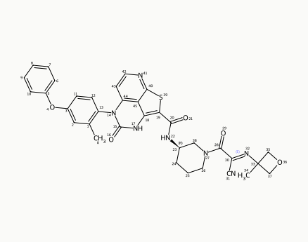 Cc1cc(Oc2ccccc2)ccc1N1C(=O)Nc2c(C(=O)N[C@@H]3CCCN(C(=O)/C(C#N)=N/C4(C)COC4)C3)sc3nccc1c23